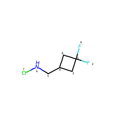 FC1(F)CC(CNCl)C1